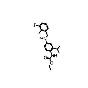 CCOC(=O)Nc1ccc(NCc2cccc(F)c2C)cc1C(C)C